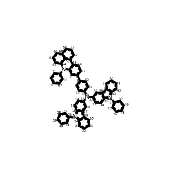 c1ccc(N2c3cc(-c4ccc(N(c5ccc6c(c5)c5ccccc5n6-c5ccccc5)c5ccc6c(c5)c5ccccc5n6-c5ccccc5)cc4)ccc3-c3cccc4cccc2c34)cc1